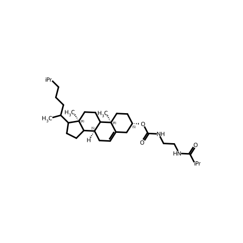 CC(C)CCCC(C)C1CCC2[C@@H]3CC=C4C[C@@H](OC(=O)NCCNC(=O)C(C)C)CC[C@]4(C)C3CC[C@]12C